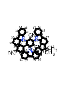 CC1(C)C2=C(C=CCC2)c2c1ccc1c3ccccc3n(-c3c(C#N)c(-n4c5ccccc5c5ccccc54)c(-c4ccc(C#N)cc4)c(-n4c5ccccc5c5ccccc54)c3C#N)c21